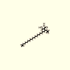 CC(C)(C)CCCCCCCCCCCCCCCCCCC(CC(C)(C)C)C(C(=O)O)C(=O)O